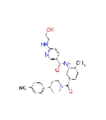 Cc1ccc(C(=O)N2CCC(c3ccc(C#N)cc3)CC2)cc1NC(=O)c1ccc(NCCO)nc1